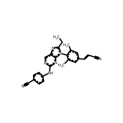 CCc1nc2cnc(Nc3ccc(C#N)cc3)nc2n1-c1c(C)cc(/C=C/C#N)cc1C